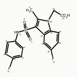 Cc1c(S(=O)(=O)Nc2ccc(F)cc2)c2cc(F)ccc2n1CC(=O)O